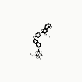 Cc1cc2c(nc1N1CCC(Oc3ccc4c(c3)CCN(C(=O)OC(C)(C)C)C4)CC1)CNC2=O